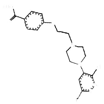 CCCCCCC(=O)c1ccc(OCCN2CCN(c3cc(Cl)nnc3Cl)CC2)cc1